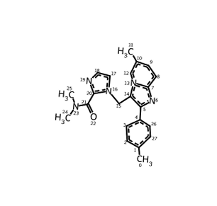 Cc1ccc(-c2nc3ccc(C)cn3c2Cn2ccnc2C(=O)N(C)C)cc1